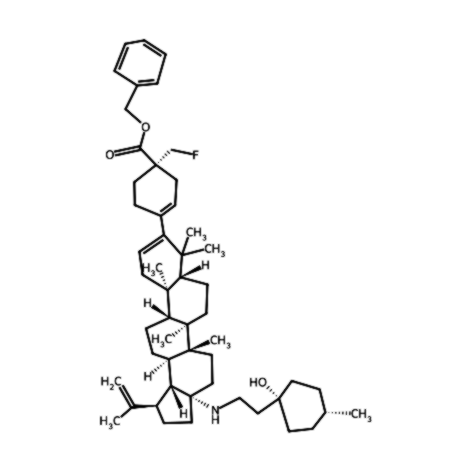 C=C(C)[C@@H]1CC[C@]2(NCC[C@]3(O)CC[C@@H](C)CC3)CC[C@]3(C)[C@H](CC[C@@H]4[C@@]5(C)CC=C(C6=CC[C@](CF)(C(=O)OCc7ccccc7)CC6)C(C)(C)[C@@H]5CC[C@]43C)[C@@H]12